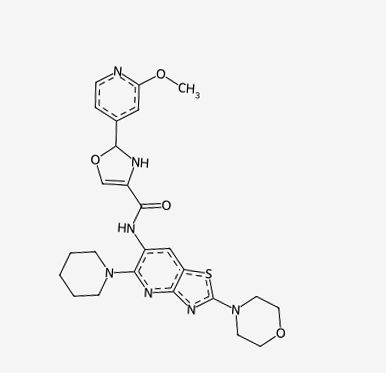 COc1cc(C2NC(C(=O)Nc3cc4sc(N5CCOCC5)nc4nc3N3CCCCC3)=CO2)ccn1